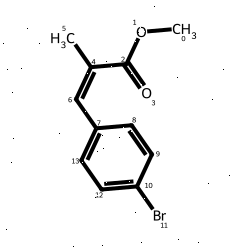 COC(=O)C(C)=Cc1ccc(Br)cc1